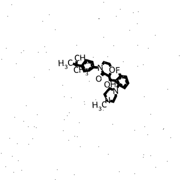 CN1CCN(c2cccc(F)c2C(O)C2OCCN(c3ccc(C(C)(C)C)cc3)C2=O)CC1